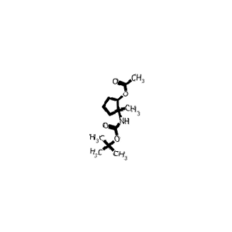 CC(=O)OC1CCCC1(C)NC(=O)OC(C)(C)C